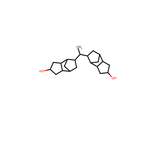 C[C](C1CC2CC1C1CC(O)CC21)C1CC2CC1C1CC(O)CC21